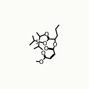 CCCC(OC(=O)/C=C\C(=O)OC)C(=O)O[Si](C(C)C)(C(C)C)C(C)C